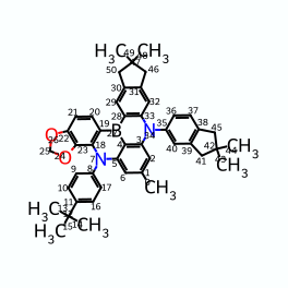 Cc1cc2c3c(c1)N(c1ccc(C(C)(C)C)cc1)c1c(ccc4c1OCO4)B3c1cc3c(cc1N2c1ccc2c(c1)CC(C)(C)C2)CC(C)(C)C3